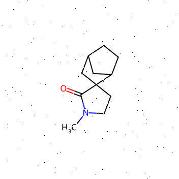 CN1CCC2(CC3CCC2C3)C1=O